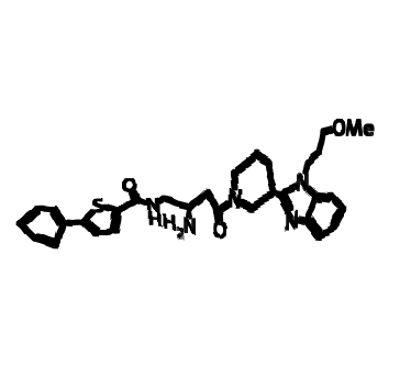 COCCCn1c([C@@H]2CCCN(C(=O)C[C@@H](N)CNC(=O)c3ccc(-c4ccccc4)s3)C2)nc2ccccc21